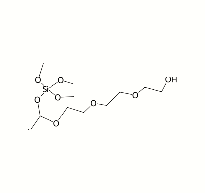 [CH2]C(OCCOCCOCCO)O[Si](OC)(OC)OC